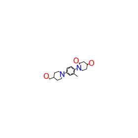 Cc1cc(N2CCC(C=O)CC2)ccc1N1CCC(=O)CC1=O